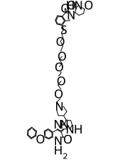 NC(=O)c1c(-c2ccc(Oc3ccccc3)cc2)nn2c1NCCC2C1CCN(CCOCCOCCOCCOCCOCCSc2cccc3c2CN(C2CCC(=O)NC2=O)C3=O)CC1